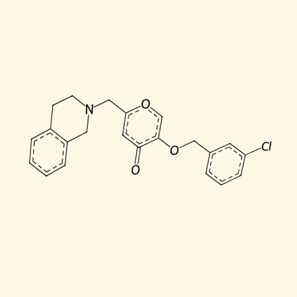 O=c1cc(CN2CCc3ccccc3C2)occ1OCc1cccc(Cl)c1